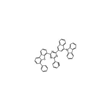 c1cccc(-c2nc(-c3cc(-n4c5ccccc5c5ccccc54)c4ccccc4c3)nc(-c3cccc4c3sc3c(-c5ccccc5)cccc34)n2)c#1